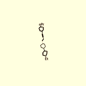 CCCc1ccc(C#CC=C[C@H]2CC[C@H](c3ccc(CC)cc3)CC2)cc1